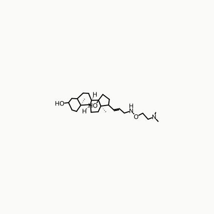 CN(C)CCONCC=CC1CC[C@@]2(O)[C@@H]3CCC4CC(O)CC[C@]4(C)[C@@H]3CC[C@]12C